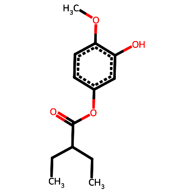 CCC(CC)C(=O)Oc1ccc(OC)c(O)c1